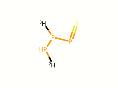 [2H]PP([3H])P=S